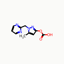 Cc1cc(OC(=O)O)nn1Cc1ncccn1